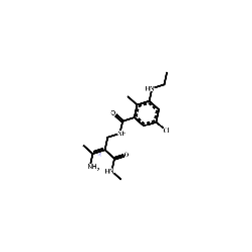 CCNc1cc(Cl)cc(C(=O)NC/C(C(=O)NC)=C(\C)N)c1C